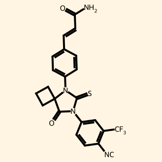 [C-]#[N+]c1ccc(N2C(=O)C3(CCC3)N(c3ccc(/C=C/C(N)=O)cc3)C2=S)cc1C(F)(F)F